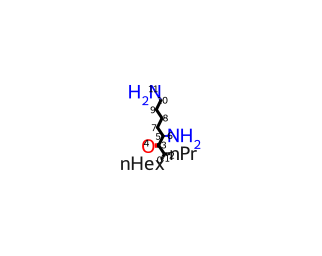 CCCCCCC(CCC)C(=O)[C@H](N)CCCCN